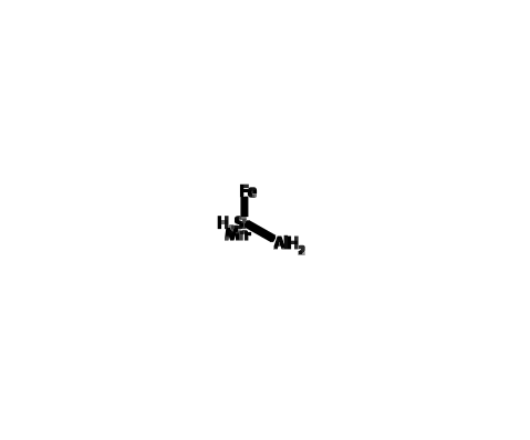 [AlH2][SiH2][Fe].[Mn]